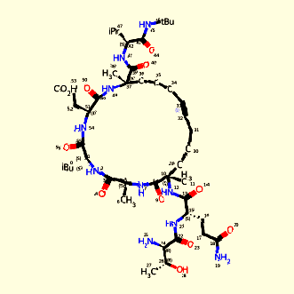 CC[C@H](C)[C@@H]1NC(=O)[C@H](C)NC(=O)[C@@](C)(NC(=O)[C@H](CCC(N)=O)NC(=O)[C@H](N)[C@@H](C)O)CCC/C=C/CCC[C@@](C)(C(=O)N[C@H](C(=O)NC(C)(C)C)C(C)C)NC(=O)[C@H](CC(=O)O)NC1=O